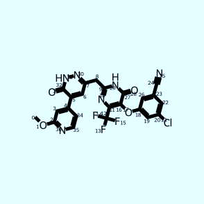 COc1cc(-c2cc(Cc3nc(C(F)(F)F)c(Oc4cc(Cl)cc(C#N)c4)c(=O)[nH]3)n[nH]c2=O)ccn1